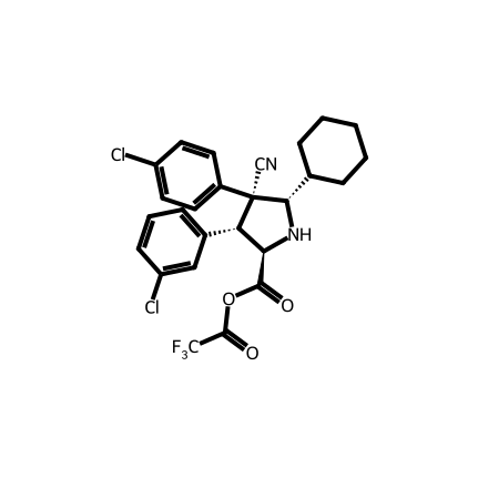 N#C[C@]1(c2ccc(Cl)cc2)[C@H](C2CCCCC2)N[C@@H](C(=O)OC(=O)C(F)(F)F)[C@@H]1c1cccc(Cl)c1